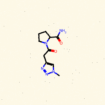 Cn1cc(CC(=O)N2CCCC2C(N)=O)nn1